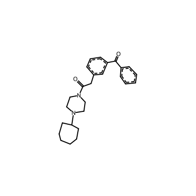 O=C(c1ccccc1)c1cccc(CC(=O)N2CCN(C3CCCCCC3)CC2)c1